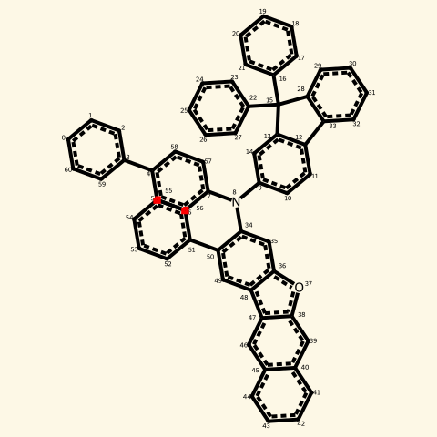 c1ccc(-c2ccc(N(c3ccc4c(c3)C(c3ccccc3)(c3ccccc3)c3ccccc3-4)c3cc4oc5cc6ccccc6cc5c4cc3-c3ccccc3)cc2)cc1